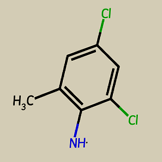 Cc1cc(Cl)cc(Cl)c1[NH]